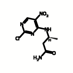 C[C@H](CC(N)=O)Nc1nc(Cl)ncc1[N+](=O)[O-]